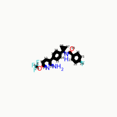 Nc1nc(OC(F)(F)F)ccc1-c1ccc(C2(NC(=O)c3ccc(F)cc3)CC2)cc1